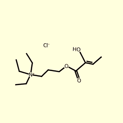 CC=C(O)C(=O)OCCC[N+](CC)(CC)CC.[Cl-]